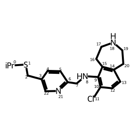 CC(C)SCc1ccc(CNc2c(Cl)ccc3c2CCNCC3)nc1